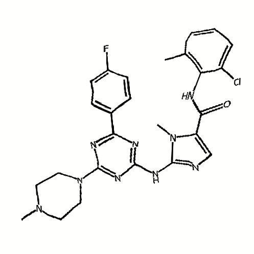 Cc1cccc(Cl)c1NC(=O)c1cnc(Nc2nc(-c3ccc(F)cc3)nc(N3CCN(C)CC3)n2)n1C